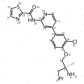 CC(C)C[C@](C)(N)COc1ccc(-c2ccnc(NC(=O)c3nccs3)c2)cc1Cl